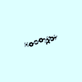 C=C1C=C(C(F)(F)F)C=CN1/C(C(=O)NCc1ccc(N2CCN(c3ccc(OC(F)(F)F)cc3)CC2)cc1)=C(\C)CC